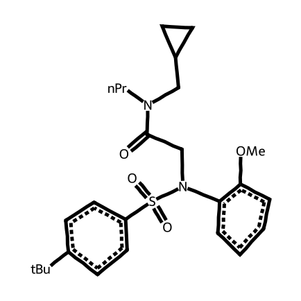 CCCN(CC1CC1)C(=O)CN(c1ccccc1OC)S(=O)(=O)c1ccc(C(C)(C)C)cc1